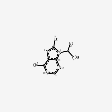 CCCCC(CC)n1c(CC)nc2c(Cl)ncnc21